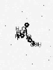 CC(CN(CCc1cc2ccc(CC(=O)O)cc2o1)Cc1cccc(C(F)(F)F)c1Cl)c1ccccc1